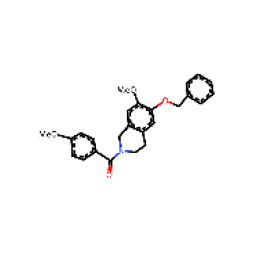 COc1ccc(C(=O)N2CCc3cc(OCc4ccccc4)c(OC)cc3C2)cc1